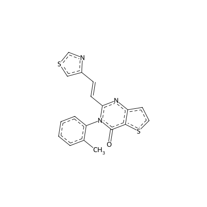 Cc1ccccc1-n1c(C=Cc2cscn2)nc2ccsc2c1=O